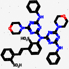 O=S(=O)(O)c1ccccc1C=Cc1cccc(N(c2nc(Nc3ccccc3)nc(N3CCOCC3)n2)c2nc(Nc3ccccc3)nc(N3CCOCC3)n2)c1S(=O)(=O)O